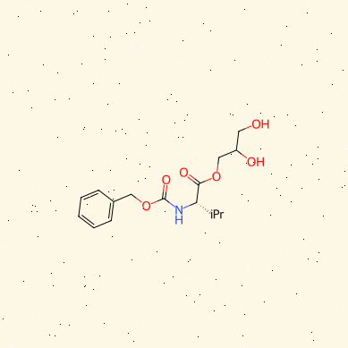 CC(C)[C@H](NC(=O)OCc1ccccc1)C(=O)OCC(O)CO